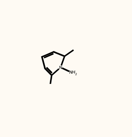 CC1=CC=CC(C)N1N